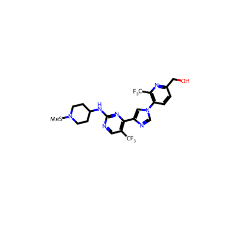 CSN1CCC(Nc2ncc(C(F)(F)F)c(-c3cn(-c4ccc(CO)nc4C(F)(F)F)cn3)n2)CC1